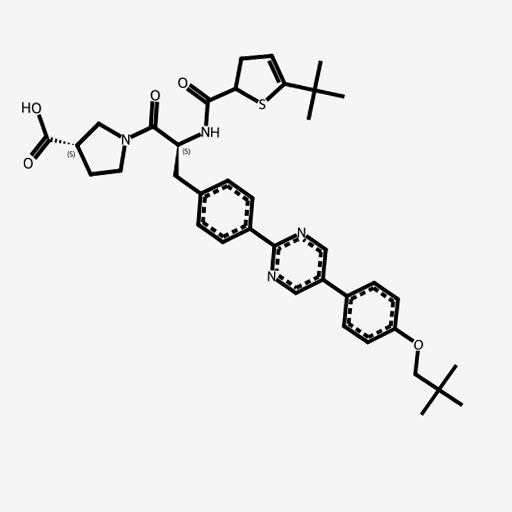 CC(C)(C)COc1ccc(-c2cnc(-c3ccc(C[C@H](NC(=O)C4CC=C(C(C)(C)C)S4)C(=O)N4CC[C@H](C(=O)O)C4)cc3)nc2)cc1